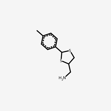 Cc1ccc(C2SCC(CN)S2)cc1